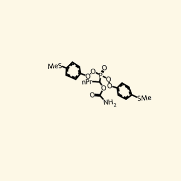 CCCC(OC(N)=O)P(=O)(OOc1ccc(SC)cc1)OOc1ccc(SC)cc1